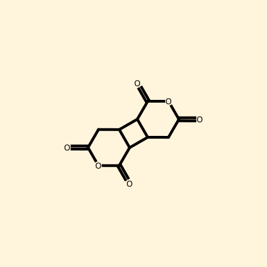 O=C1CC2C(C(=O)O1)C1CC(=O)OC(=O)C21